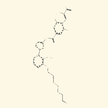 CCCCCCCCOc1cccc(-c2csc(NC(=O)c3cc(F)c(C=C(C)C(=O)O)c(F)c3)n2)c1OC